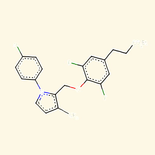 CCOC(=O)CCc1cc(F)c(OCc2c(C(F)(F)F)ccn2-c2ccc(Cl)cc2)c(F)c1